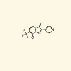 C=C1C(c2ccncc2)=Nc2c1ccc(C(F)(F)F)c2Cl